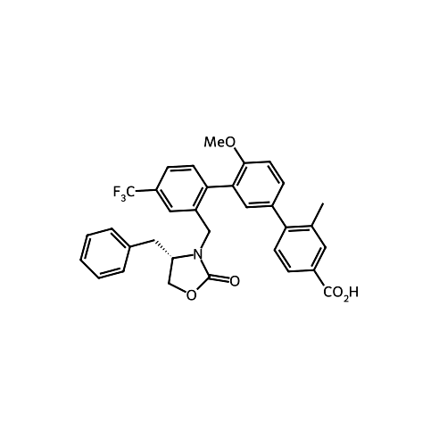 COc1ccc(-c2ccc(C(=O)O)cc2C)cc1-c1ccc(C(F)(F)F)cc1CN1C(=O)OC[C@@H]1Cc1ccccc1